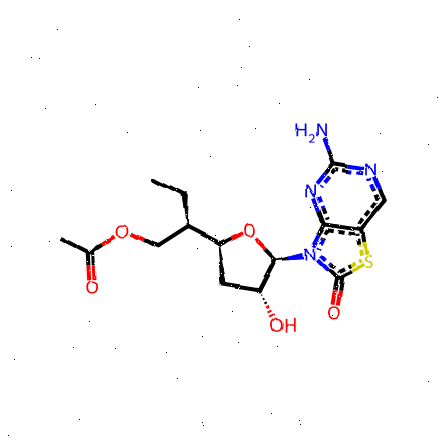 CC[C@H](COC(C)=O)[C@@H]1C[C@@H](O)[C@H](n2c(=O)sc3cnc(N)nc32)O1